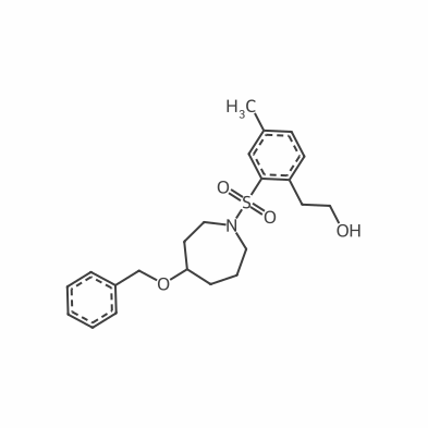 Cc1ccc(CCO)c(S(=O)(=O)N2CCCC(OCc3ccccc3)CC2)c1